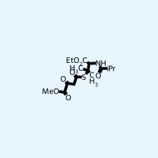 CCOC(=O)C(NC(=O)C(C)C)C(C)(C)SC(=O)CC(=O)C(=O)OC